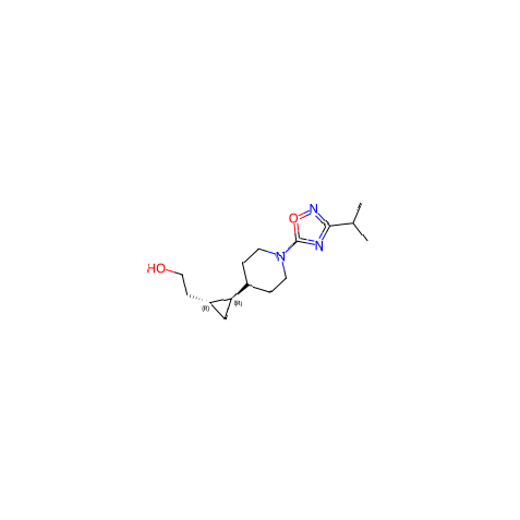 CC(C)c1noc(N2CCC([C@H]3C[C@@H]3CCO)CC2)n1